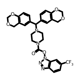 O=C(On1nnc2ccc(C(F)(F)F)cc21)N1CCN(C(c2ccc3c(c2)COCO3)c2ccc3c(c2)COCO3)CC1